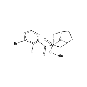 CC(C)(C)OC(=O)N1C2CCC1CC(C(=O)c1cccc(Br)c1F)C2